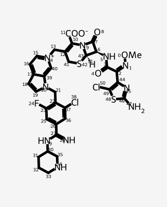 CO/N=C(\C(=O)N[C@@H]1C(=O)N2C(C(=O)[O-])=C(C[n+]3ccc4ccn(Cc5c(F)cc(C(=N)NC6CCCNC6)cc5Cl)c4c3)CS[C@H]12)c1nc(N)sc1Cl